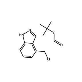 CC(C)(C)OC=O.ClCc1cccc2[nH]ncc12